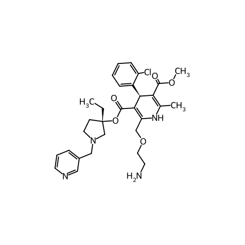 CC[C@]1(OC(=O)C2=C(COCCN)NC(C)=C(C(=O)OC)[C@@H]2c2ccccc2Cl)CCN(Cc2cccnc2)C1